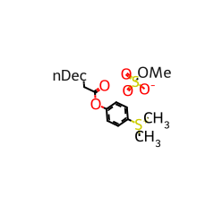 CCCCCCCCCCCC(=O)Oc1ccc([S+](C)C)cc1.COS(=O)(=O)[O-]